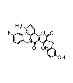 Cc1ccc2c3oc(=O)c(Sc4cccc(O)c4)c(O)c3c(=O)n(Cc3ccc(F)cc3)c2n1